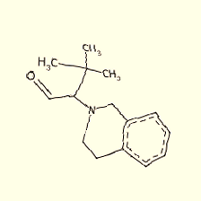 CC(C)(C)C(C=O)N1CCc2ccccc2C1